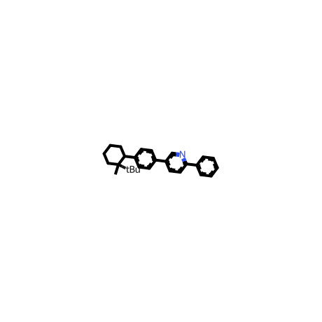 CC(C)(C)C1(C)CCCCC1c1ccc(-c2ccc(-c3ccccc3)nc2)cc1